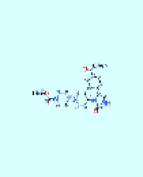 COC(=O)[C@H]1CC[C@H](C2CNC(=O)N2C2CCN(C3CCN(C(=O)OC(C)(C)C)CC3)CC2)CC1